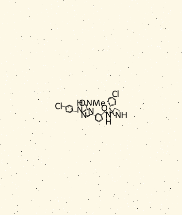 CNC(=O)c1nc(-c2cccc(C(=O)N[C@]3(Cc4ccc(Cl)cc4)CCNC3)c2)cnc1NCc1ccc(Cl)cc1